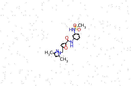 Cc1cc(C)n(Cc2ccc(C(=O)Nc3cccc(NS(C)(=O)=O)c3)o2)n1